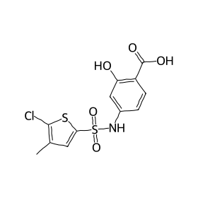 Cc1cc(S(=O)(=O)Nc2ccc(C(=O)O)c(O)c2)sc1Cl